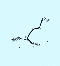 CCCCCCC[C@@H](CCCCCC)CCC(=O)O